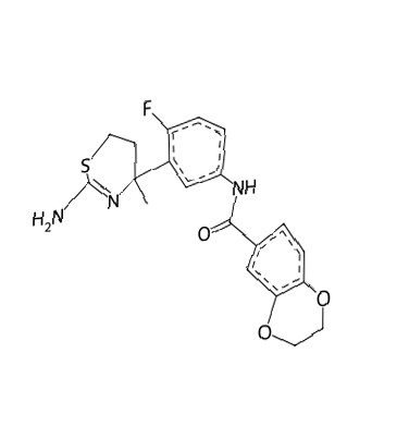 CC1(c2cc(NC(=O)c3ccc4c(c3)OCCO4)ccc2F)CCSC(N)=N1